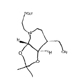 CCCCCCCCCN1C[C@H](CO)[C@H]2OC(C)(C)O[C@@H]21